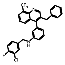 Fc1ccc(CNc2cccc(-c3c(Cc4ccccc4)cnc4c(C(F)(F)F)cccc34)c2)cc1Cl